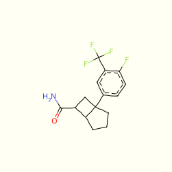 NC(=O)C1CC2(c3ccc(F)c(C(F)(F)F)c3)CCCC12